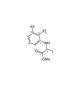 [CH2]OC(=O)C(C)Nc1cccc(CC)c1CC